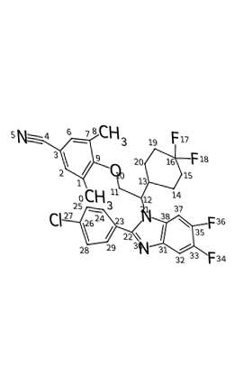 Cc1cc(C#N)cc(C)c1OCC(C1CCC(F)(F)CC1)n1c(-c2ccc(Cl)cc2)nc2cc(F)c(F)cc21